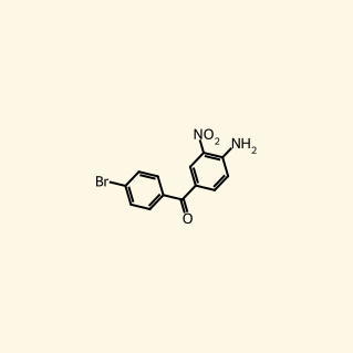 Nc1ccc(C(=O)c2ccc(Br)cc2)cc1[N+](=O)[O-]